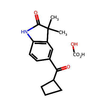 CC1(C)C(=O)Nc2ccc(C(=O)C3CCC3)cc21.O=C(O)O